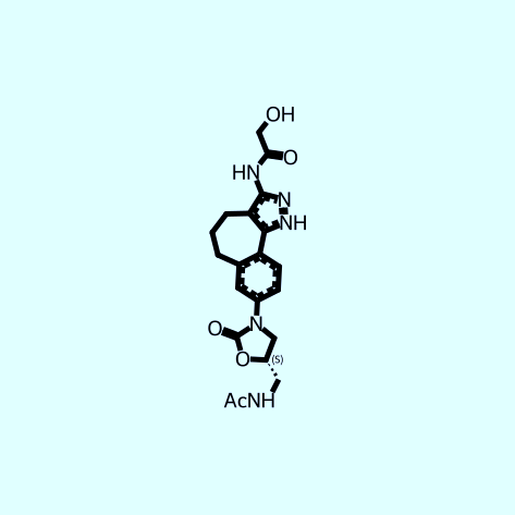 CC(=O)NC[C@H]1CN(c2ccc3c(c2)CCCc2c(NC(=O)CO)n[nH]c2-3)C(=O)O1